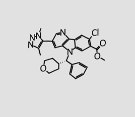 COC(=O)c1cc2c(cc1Cl)c1ncc(-c3c(C)nnn3C)cc1n2[C@H](c1ccccc1)C1CCOCC1